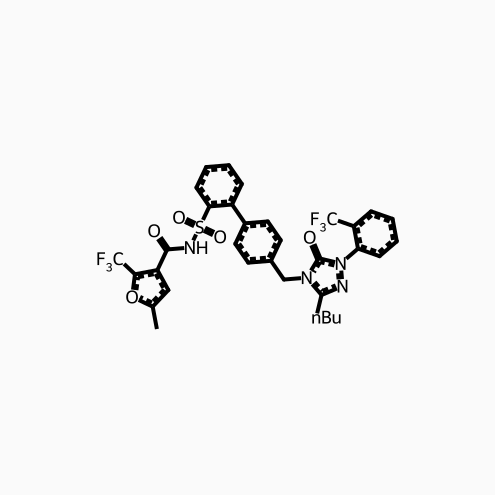 CCCCc1nn(-c2ccccc2C(F)(F)F)c(=O)n1Cc1ccc(-c2ccccc2S(=O)(=O)NC(=O)c2cc(C)oc2C(F)(F)F)cc1